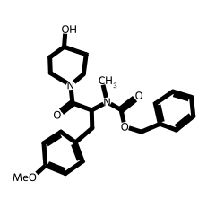 COc1ccc(CC(C(=O)N2CCC(O)CC2)N(C)C(=O)OCc2ccccc2)cc1